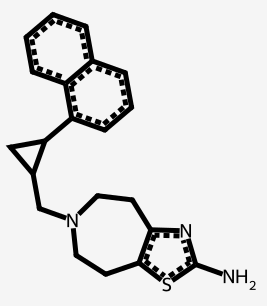 Nc1nc2c(s1)CCN(CC1CC1c1cccc3ccccc13)CC2